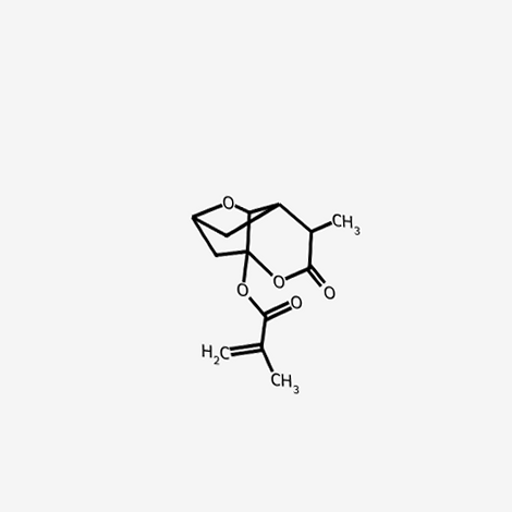 C=C(C)C(=O)OC12CC3CC(C(C)C(=O)O1)C2O3